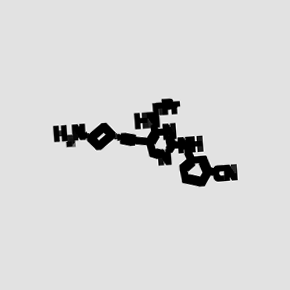 CCCNc1nc(Nc2cccc(C#N)c2)ncc1C#C[C@H]1C[C@@H](N)C1